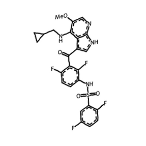 COc1cnc2[nH]cc(C(=O)c3c(F)ccc(NS(=O)(=O)c4cc(F)ccc4F)c3F)c2c1NCC1CC1